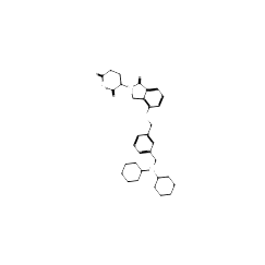 O=C1CCC(N2Cc3c(SCc4cccc(CN(C5CCCCC5)C5CCCCC5)c4)cccc3C2=O)C(=O)N1